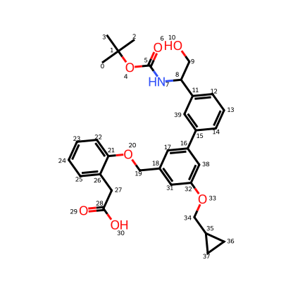 CC(C)(C)OC(=O)NC(CO)c1cccc(-c2cc(COc3ccccc3CC(=O)O)cc(OCC3CC3)c2)c1